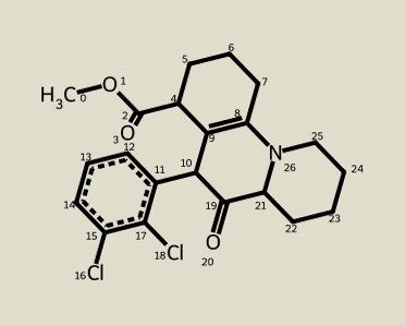 COC(=O)C1CCCC2=C1C(c1cccc(Cl)c1Cl)C(=O)C1CCCCN21